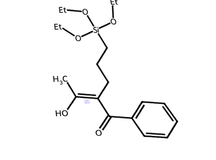 CCO[Si](CCC/C(C(=O)c1ccccc1)=C(\C)O)(OCC)OCC